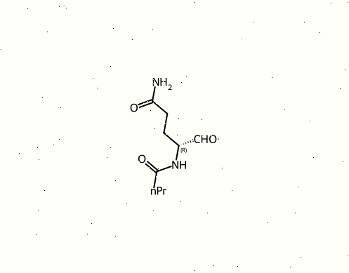 CCCC(=O)N[C@@H]([C]=O)CCC(N)=O